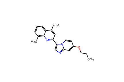 COCCOc1ccn2c(-c3cc(C=O)c4cccc(OC)c4n3)cnc2c1